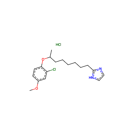 COc1ccc(OC(C)CCCCCCc2ncc[nH]2)c(Cl)c1.Cl